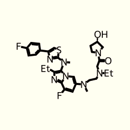 CCc1nc2c(F)cc(N(C)CCN(CC)CC(=O)N3CC[C@@H](O)C3)cn2c1N(C)c1nc(-c2ccc(F)cc2)cs1